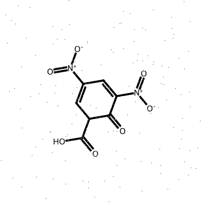 O=C(O)C1C=C([N+](=O)[O-])C=C([N+](=O)[O-])C1=O